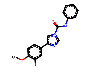 COc1ccc(-c2cn(C(=O)Nc3ccccc3)cn2)cc1F